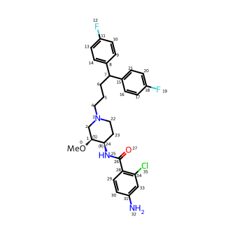 CO[C@H]1CN(CCCC(c2ccc(F)cc2)c2ccc(F)cc2)CC[C@H]1NC(=O)c1ccc(N)cc1Cl